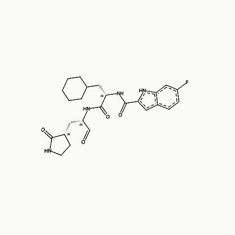 O=C[C@H](C[C@@H]1CCNC1=O)NC(=O)[C@H](CC1CCCCC1)NC(=O)c1cc2ccc(F)cc2[nH]1